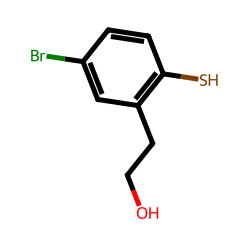 OCCc1cc(Br)ccc1S